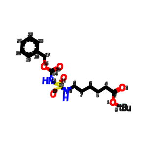 CC(C)(C)OC(=O)CCCCCNS(=O)(=O)NC(=O)OCc1ccccc1